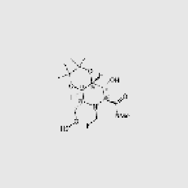 CNC(=O)[C@@H]1[C@@H](O)[C@H]2OC(C)(C)C(C)(C)O[C@@H]2[C@@H](COS)N1CI